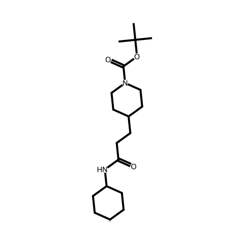 CC(C)(C)OC(=O)N1CCC(CCC(=O)NC2CC[CH]CC2)CC1